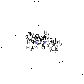 CC/C(C1=Cc2ccncc2C1(C)C)=C1/C(=O)C(C(/CC)=C2/Nc3ccncc3C2(C)C)=C1O